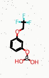 OB(O)Oc1cccc(OCC(F)(F)F)c1